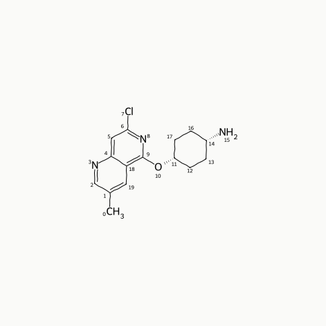 Cc1cnc2cc(Cl)nc(O[C@H]3CC[C@@H](N)CC3)c2c1